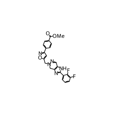 COC(=O)c1ccc(-c2cc(CN3Cc4nc(-c5cccc(F)c5F)[nH]c4C=N3)on2)cc1